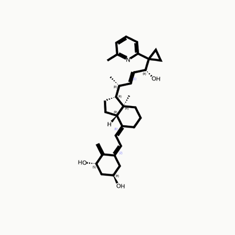 C=C1/C(=C\C=C2/CCC[C@]3(C)[C@@H]([C@H](C)/C=C/[C@@H](O)C4(c5cccc(C)n5)CC4)CC[C@@H]23)C[C@@H](O)C[C@@H]1O